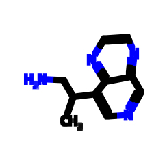 CC(CN)c1cncc2nccnc12